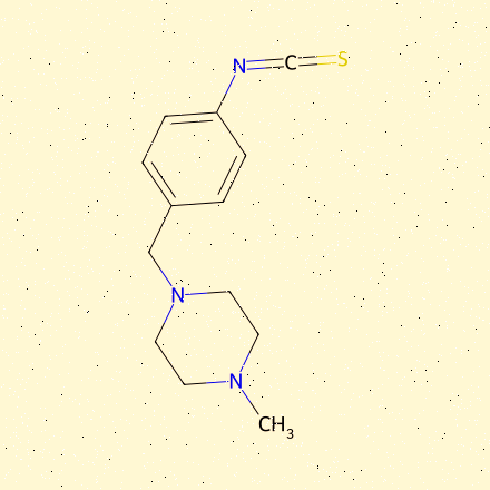 CN1CCN(Cc2ccc(N=C=S)cc2)CC1